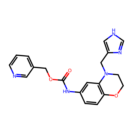 O=C(Nc1ccc2c(c1)N(Cc1c[nH]cn1)CCO2)OCc1cccnc1